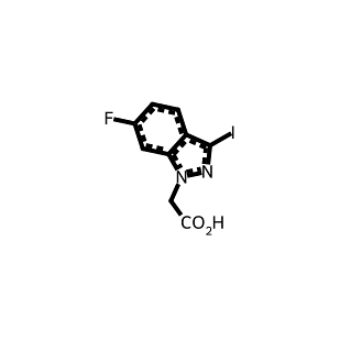 O=C(O)Cn1nc(I)c2ccc(F)cc21